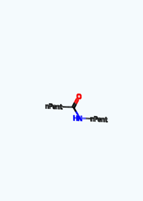 [CH2]CCCCC(=O)NCCCCC